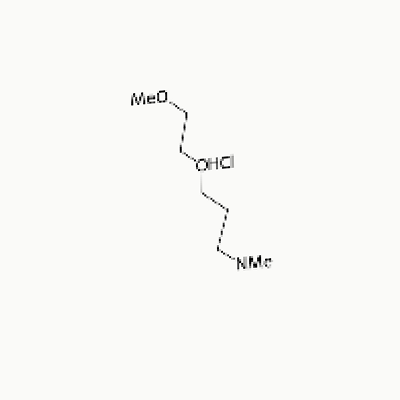 CNCCCOCCOC.Cl